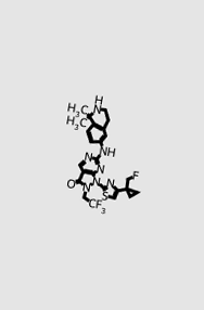 CC1(C)NCCc2cc(Nc3ncc4c(=O)n(CC(F)(F)F)n(-c5nc(C6(CF)CC6)cs5)c4n3)ccc21